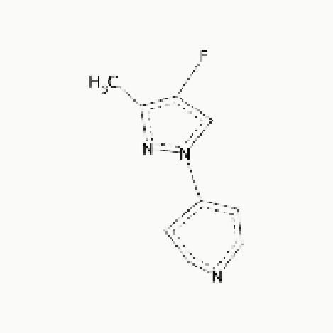 Cc1nn(-c2ccncc2)cc1F